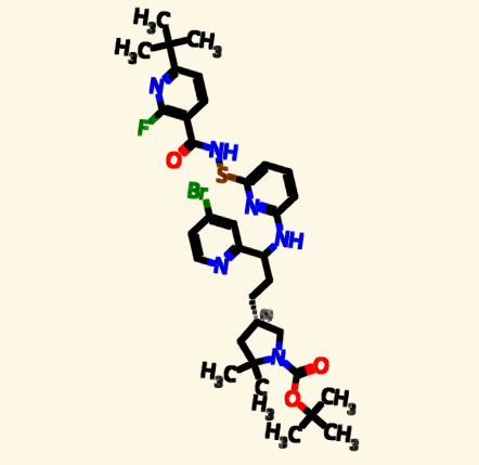 CC(C)(C)OC(=O)N1C[C@@H](CCC(Nc2cccc(SNC(=O)c3ccc(C(C)(C)C)nc3F)n2)c2cc(Br)ccn2)CC1(C)C